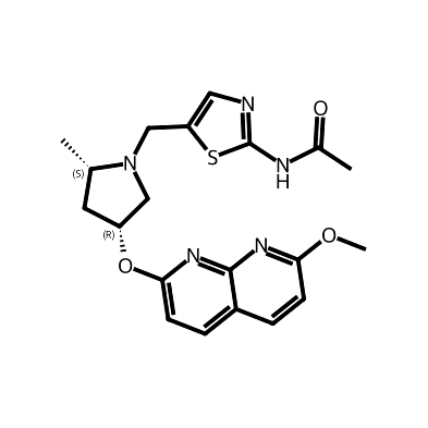 COc1ccc2ccc(O[C@@H]3C[C@H](C)N(Cc4cnc(NC(C)=O)s4)C3)nc2n1